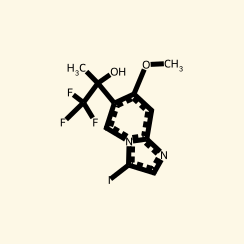 COc1cc2ncc(I)n2cc1C(C)(O)C(F)(F)F